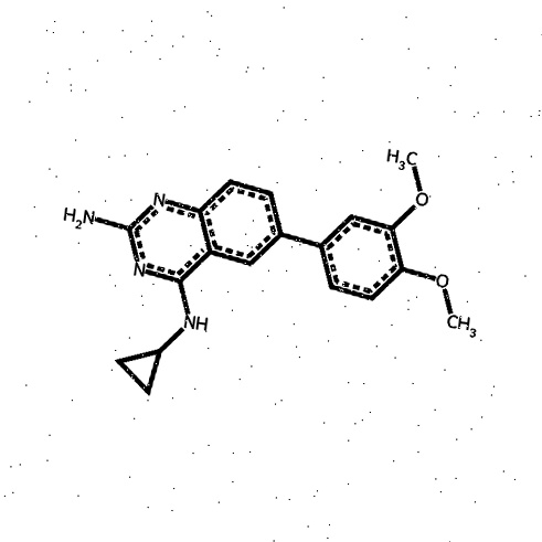 COc1ccc(-c2ccc3nc(N)nc(NC4CC4)c3c2)cc1OC